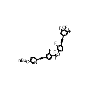 CCCCOc1ccc(C#Cc2ccc(C(F)(F)Oc3ccc(C#Cc4cc(F)c(C(F)(F)F)c(F)c4)c(F)c3)c(F)c2)nc1